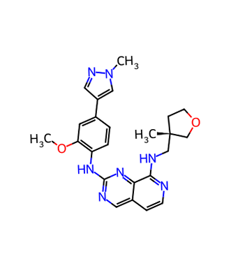 COc1cc(-c2cnn(C)c2)ccc1Nc1ncc2ccnc(NC[C@]3(C)CCOC3)c2n1